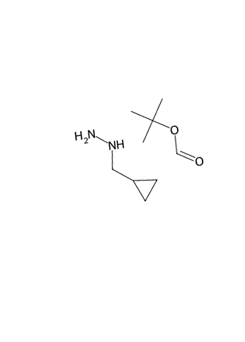 CC(C)(C)OC=O.NNCC1CC1